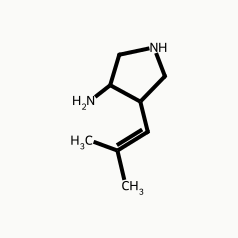 CC(C)=CC1CNCC1N